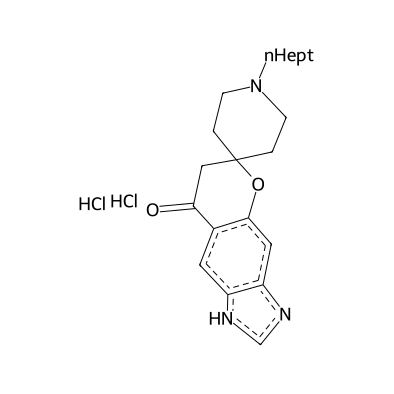 CCCCCCCN1CCC2(CC1)CC(=O)c1cc3[nH]cnc3cc1O2.Cl.Cl